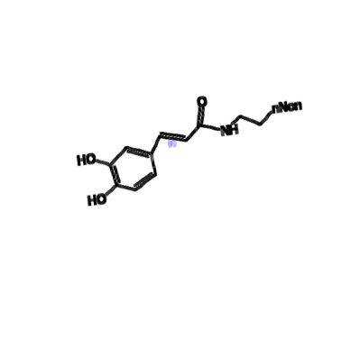 CCCCCCCCCCCNC(=O)/C=C/c1ccc(O)c(O)c1